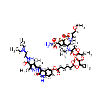 CCN(CC)CCNC(=O)c1c(C)[nH]c(/C=C2\C(=O)Nc3ccc(OC(=O)CCCCC(=O)OC(C)C(=O)OC(C)C(=O)OC(C)C(=O)N(CC)C4CN(CCCOC)S(=O)(=O)c5sc(S(N)(=O)=O)cc54)cc32)c1C